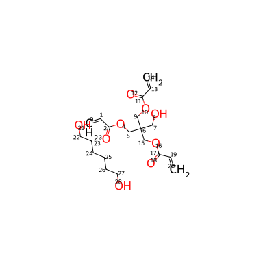 C=CC(=O)OCC(CO)(COC(=O)C=C)COC(=O)C=C.OCCCCCCO